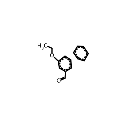 CCOc1cccc(C=O)c1.c1ccccc1